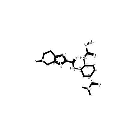 CN1CCc2nc(C(=O)N[C@@H]3C[C@@H](C(=O)N(C)C)CC[C@@H]3NC(=O)OC(C)(C)C)sc2C1